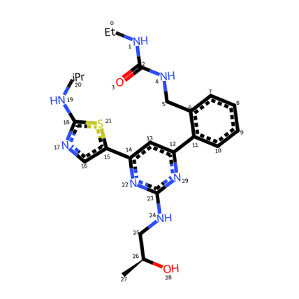 CCNC(=O)NCc1ccccc1-c1cc(-c2cnc(NC(C)C)s2)nc(NC[C@H](C)O)n1